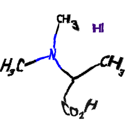 CC(C(=O)O)N(C)C.I